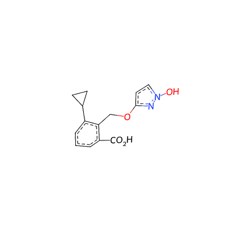 O=C(O)c1cccc(C2CC2)c1COc1ccn(O)n1